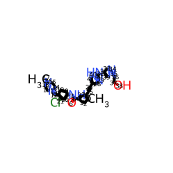 Cc1ccc(C(=O)Nc2ccc(CN3CCN(C)CC3)c(Cl)c2)cc1C#Cc1cnc(Nc2cnn(CCO)c2)nc1